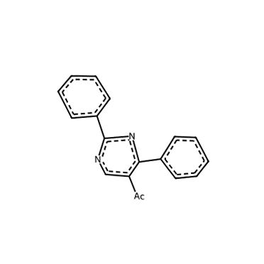 CC(=O)c1cnc(-c2ccccc2)nc1-c1ccccc1